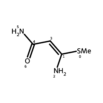 CSC(N)=CC(N)=O